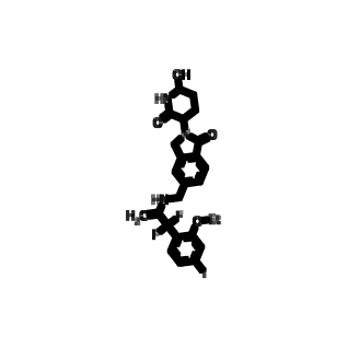 C=C(NCc1ccc2c(c1)CN(C1CCC(O)NC1=O)C2=O)C(F)(F)c1ccc(I)cc1OCC